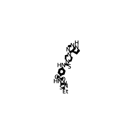 CCc1nnc(NS(=O)(=O)c2ccc(NC(=S)N3CCN(c4ncnc5[nH]ccc45)CC3)cc2)s1